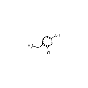 NCc1ccc(O)cc1Cl